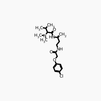 C=C(CCNC(=O)COc1ccc(Cl)cc1)NC(=O)C(C(C)C)N(C)C